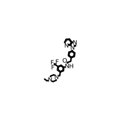 CCN1CCN(Cc2cc(NC(=O)Cc3ccc(-n4cnc5cccnc54)cc3)cc(C(F)(F)F)c2)CC1